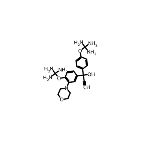 C#CC(O)(c1ccc(OC(N)(N)N)cc1)c1ccc(OC(N)(N)N)c(N2CCOCC2)c1